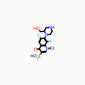 CCn1cc(C(=O)O)c(=O)c2cc(F)c(N3CCNCC3CO)c(F)c21